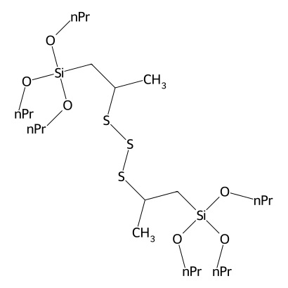 CCCO[Si](CC(C)SSSC(C)C[Si](OCCC)(OCCC)OCCC)(OCCC)OCCC